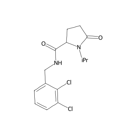 CC(C)N1C(=O)CCC1C(=O)NCc1cccc(Cl)c1Cl